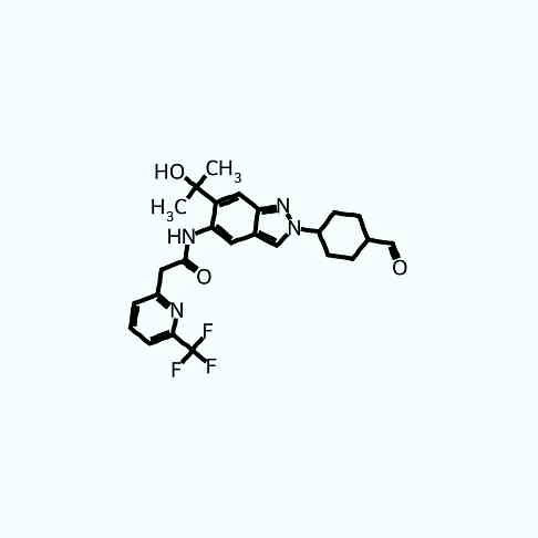 CC(C)(O)c1cc2nn(C3CCC(C=O)CC3)cc2cc1NC(=O)Cc1cccc(C(F)(F)F)n1